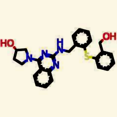 OCc1ccccc1Sc1ccccc1CNc1nc(N2CC[C@@H](O)C2)c2ccccc2n1